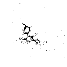 Cc1ccc(N(C(=O)[C@](N)(C#N)CC(=O)O)[C@H](C(=O)O)C(C)C)cc1